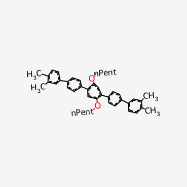 CCCCCOc1cc(-c2ccc(-c3ccc(C)c(C)c3)cc2)c(OCCCCC)cc1-c1ccc(-c2ccc(C)c(C)c2)cc1